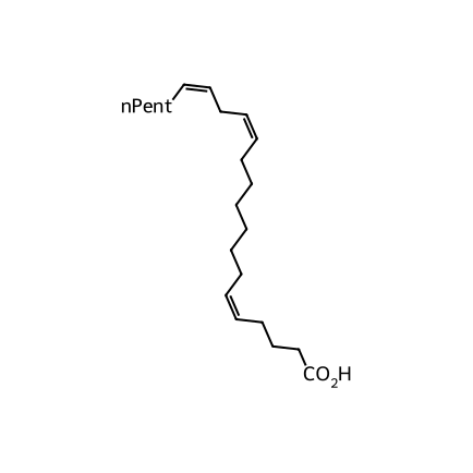 CCCCC/C=C\C/C=C\CCCCCC/C=C\CCCC(=O)O